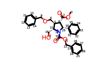 COC(=O)[C@H]1[C@H](COCc2ccccc2)[C@@H](CO)N(C(=O)OCc2ccccc2)[C@H]1c1ccccc1